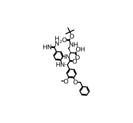 COc1cc([C@H](Nc2ccc(C(=N)N)cc2)C(=O)N[C@@H](CNC(=O)OC(C)(C)C)C(=O)O)ccc1OCc1ccccc1